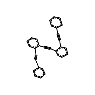 C(#Cc1ccccc1C#Cc1ccccc1C#Cc1ccccc1)c1ccccc1